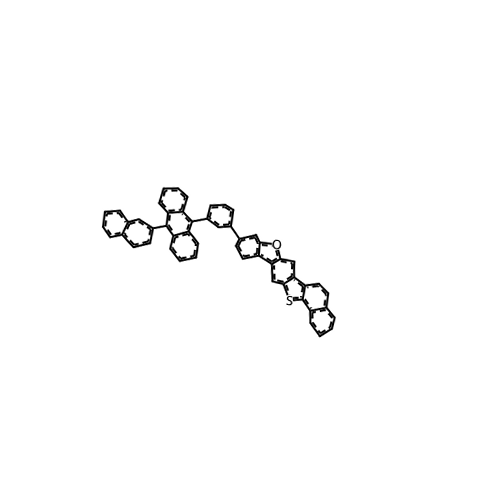 c1cc(-c2ccc3c(c2)oc2cc4c(cc23)sc2c3ccccc3ccc42)cc(-c2c3ccccc3c(-c3ccc4ccccc4c3)c3ccccc23)c1